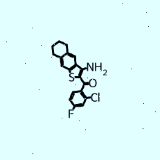 Nc1c(C(=O)c2ccc(F)cc2Cl)sc2cc3c(cc12)CCCC3